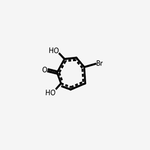 O=c1c(O)ccc(Br)cc1O